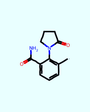 [CH2]c1cccc(C(N)=O)c1N1CCCC1=O